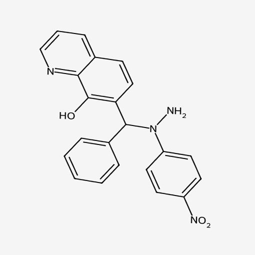 NN(c1ccc([N+](=O)[O-])cc1)C(c1ccccc1)c1ccc2cccnc2c1O